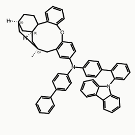 C[C@@]12Cc3cc(N(c4ccc(-c5ccccc5)cc4)c4ccc(-c5ccccc5-n5c6ccccc6c6ccccc65)cc4)ccc3Oc3ccccc3C3CC[C@@H](C[C@@H]3C1)C2